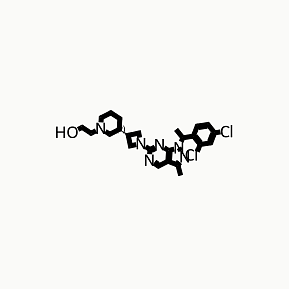 Cc1nn(C(C)c2ccc(Cl)cc2Cl)c2nc(N3CC([C@H]4CCCN(CCO)C4)C3)ncc12